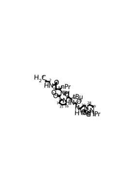 C=CCNC(=O)C(=O)C(CCC)NC(=O)[C@@H]1CCCN1C(=O)[C@@H](NC(=O)N[C@H](CN1CCN(C(C)C)S1(=O)=O)C(C)(C)C)C(C)(C)C